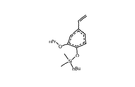 C=Cc1ccc(O[Si](C)(C)CCCC)c(OCCC)c1